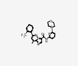 Cc1cc(-c2ccccc2C(F)(F)F)nn2c(C(=O)Nc3cccc(N4CCOCC4)n3)cnc12